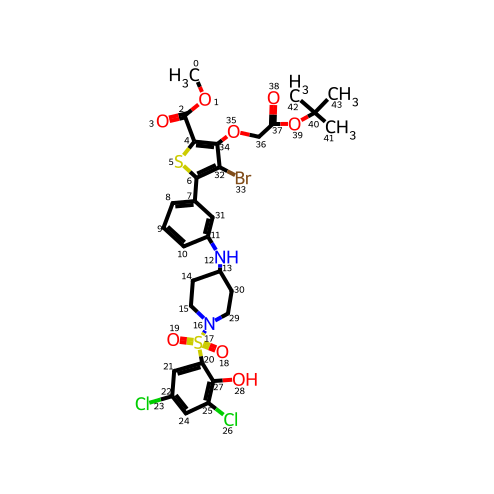 COC(=O)c1sc(-c2cccc(NC3CCN(S(=O)(=O)c4cc(Cl)cc(Cl)c4O)CC3)c2)c(Br)c1OCC(=O)OC(C)(C)C